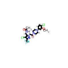 COc1cc(N2CCN(C(=O)Cn3nc(C(F)(F)F)c(Cl)c3CNC(C)=O)CC2)ccc1Cl